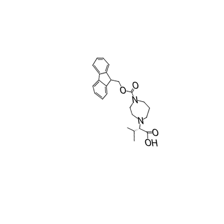 CC(C)[C@@H](C(=O)O)N1CCCN(C(=O)OCC2c3ccccc3-c3ccccc32)CC1